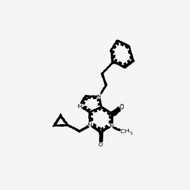 Cn1c(=O)c2c(ncn2CCc2ccccc2)n(CC2CC2)c1=O